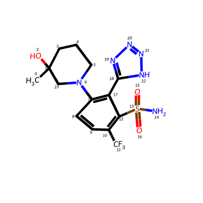 CC1(O)CCCN(c2ccc(C(F)(F)F)c(S(N)(=O)=O)c2-c2nnn[nH]2)C1